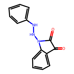 O=C1C(=O)N(NNc2ccccc2)c2ccccc21